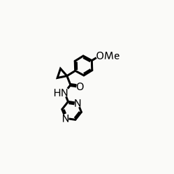 COc1ccc(C2(C(=O)Nc3cnccn3)CC2)cc1